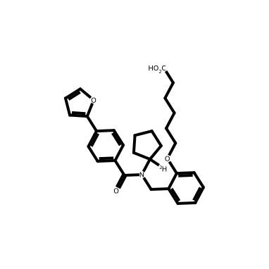 [2H]C1(N(Cc2ccccc2OCCCCCC(=O)O)C(=O)c2ccc(-c3ccco3)cc2)CCCC1